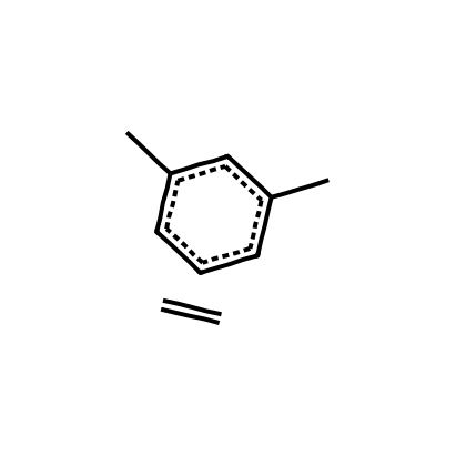 C=C.Cc1cccc(C)c1